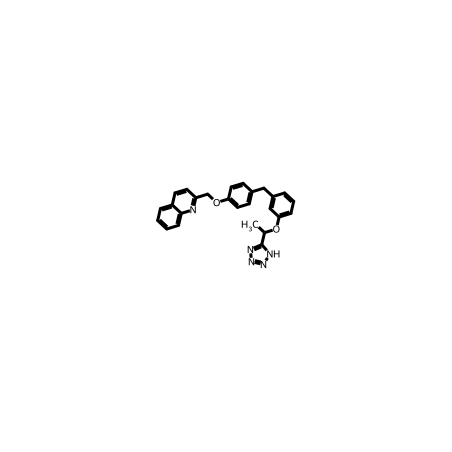 CC(Oc1cccc(Cc2ccc(OCc3ccc4ccccc4n3)cc2)c1)c1nnn[nH]1